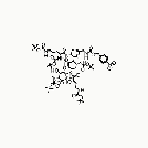 CN(C(=O)OC(C)(C)C)[C@@H]1[C@@H](O)[C@@H](O[C@H]2[C@H](NC(=O)[C@@H](O)CCNC(=O)OC(C)(C)C)C[C@H](NC(=O)OC(C)(C)C)C([C@H]3OC(CNC(=O)OCc4ccc([N+](=O)[O-])cc4)=CC[C@H]3NC(=O)C(CCCNC(=O)OC(C)(C)C)NC(=O)OC(C)(C)C)[C@@H]2O)OC[C@]1(C)O